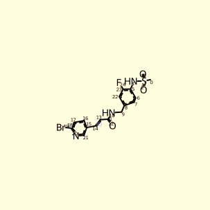 CS(=O)(=O)Nc1ccc(CNC(=O)/C=C/c2ccc(Br)nc2)cc1F